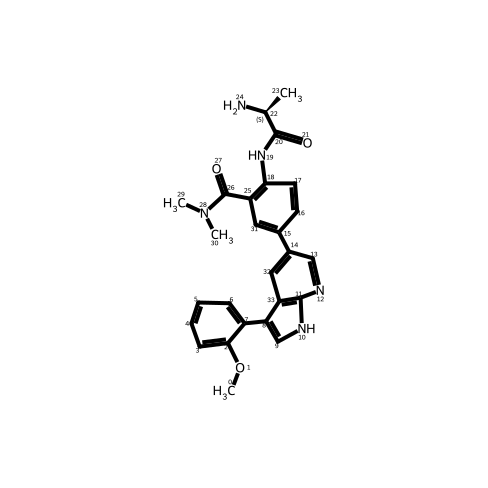 COc1ccccc1-c1c[nH]c2ncc(-c3ccc(NC(=O)[C@H](C)N)c(C(=O)N(C)C)c3)cc12